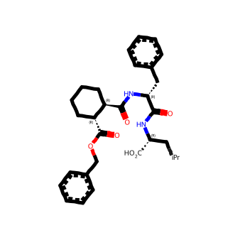 CC(C)C[C@@H](NC(=O)[C@@H](Cc1ccccc1)NC(=O)[C@@H]1CCCC[C@H]1C(=O)OCc1ccccc1)C(=O)O